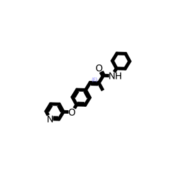 C/C(=C\c1ccc(Oc2cccnc2)cc1)C(=O)NC1CCCCC1